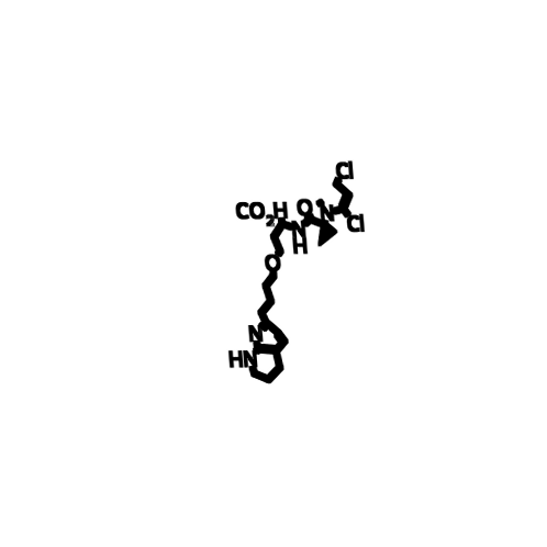 CN(/C(Cl)=C\CCl)C1(C(=O)NC(CCOCCCCc2ccc3c(n2)NCCC3)C(=O)O)CC1